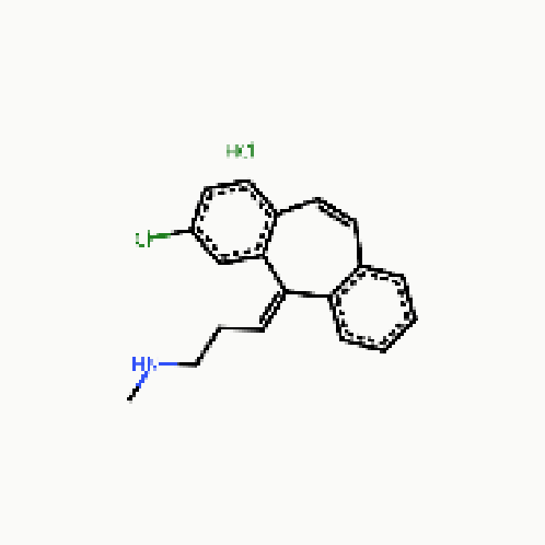 CNCCC=C1c2ccccc2C=Cc2ccc(Cl)cc21.Cl